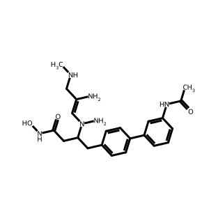 CNC/C(N)=C/N(N)C(CC(=O)NO)Cc1ccc(-c2cccc(NC(C)=O)c2)cc1